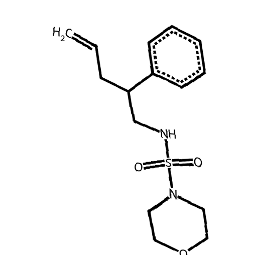 C=CCC(CNS(=O)(=O)N1CCOCC1)c1ccccc1